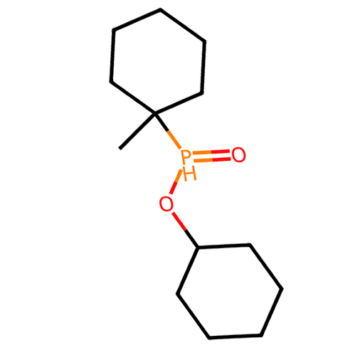 CC1([PH](=O)OC2CCCCC2)CCCCC1